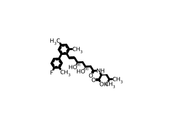 Cc1cc(C)c(C=C[C@H](O)C[C@@H](O)CC(=O)N[C@@H](CC(C)C)C(=O)O)c(-c2ccc(F)c(C)c2)c1